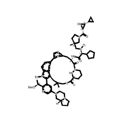 CCN(C[C@]1(C)CCN(C(=O)[C@@H]2N[C@@H]2C2CC2)C1)[C@H](C(=O)N[C@H]1Cc2nc(cs2)-c2ccc3c(c2)c(c(-c2cc(N4CCN5CCC[C@@H]5C4)cnc2[C@H](C)OC)n3CC)CC(C)(C)COC(=O)[C@@H]2CCCN(N2)C1=O)C1CCCC1